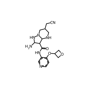 N#CCC1CNC2C(C(=O)Nc3cnccc3OC3COC3)C(N)NN2C1